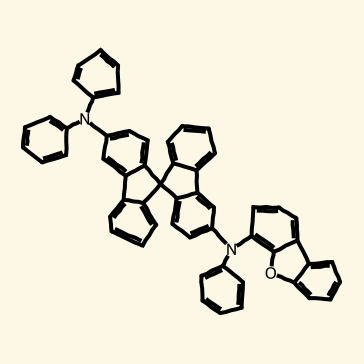 c1ccc(N(c2ccccc2)c2ccc3c(c2)-c2ccccc2C32c3ccccc3-c3cc(N(c4ccccc4)c4cccc5c4oc4ccccc45)ccc32)cc1